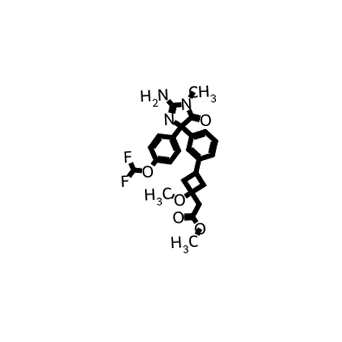 COC(=O)CC1(OC)CC(c2cccc(C3(c4ccc(OC(F)F)cc4)N=C(N)N(C)C3=O)c2)C1